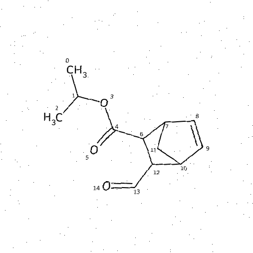 CC(C)OC(=O)C1C2C=CC(C2)C1C=O